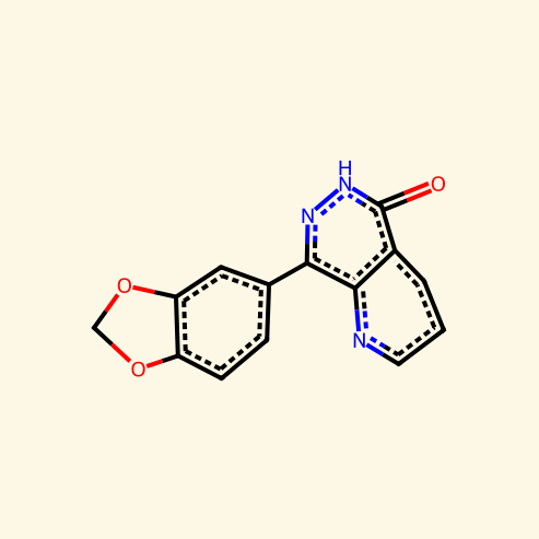 O=c1[nH]nc(-c2ccc3c(c2)OCO3)c2ncccc12